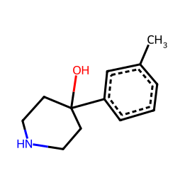 Cc1cccc(C2(O)CCNCC2)c1